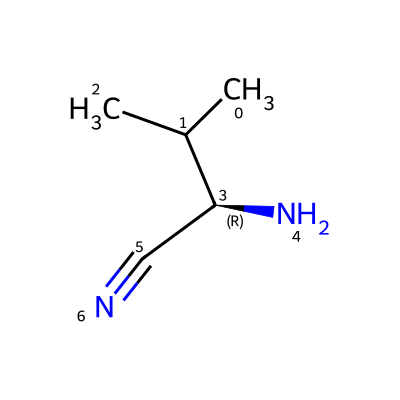 CC(C)[C@@H](N)C#N